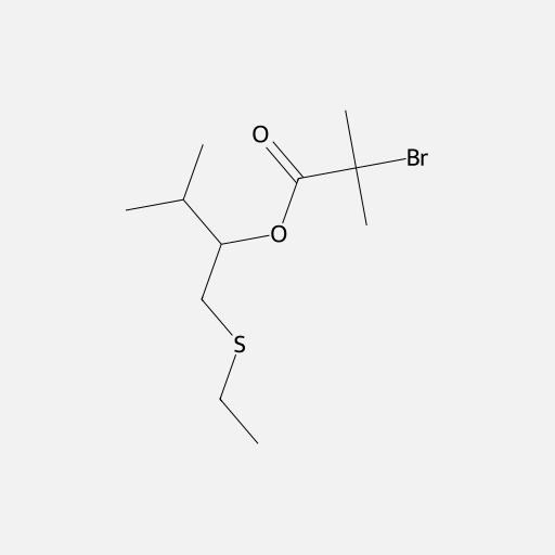 CCSCC(OC(=O)C(C)(C)Br)C(C)C